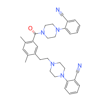 Cc1cc(C)c(C(=O)N2CCN(c3ccccc3C#N)CC2)cc1CCN1CCN(c2ccccc2C#N)CC1